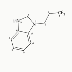 FC(F)(F)CCN1[CH]Nc2ccccc21